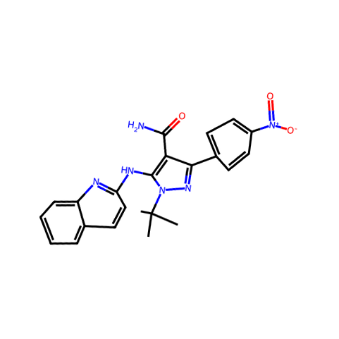 CC(C)(C)n1nc(-c2ccc([N+](=O)[O-])cc2)c(C(N)=O)c1Nc1ccc2ccccc2n1